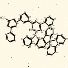 Cc1cc(-c2ccccc2)cc(-c2cccc(C3=NC(c4ccccc4)=NC(n4c5ccccc5c5ccc6c(c54)-c4ccccc4C64c5ccccc5-c5ccccc54)N3)c2)c1